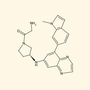 Cn1ccc2ccc(-c3cc(N[C@H]4CCN(C(=O)CN)C4)cc4nccnc34)cc21